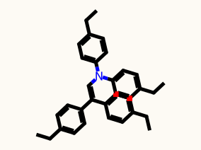 CCc1ccc(C(=CN(c2ccc(CC)cc2)c2ccc(CC)cc2)c2ccc(CC)cc2)cc1